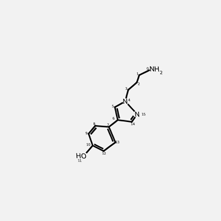 NCCCn1cc(-c2ccc(O)cc2)cn1